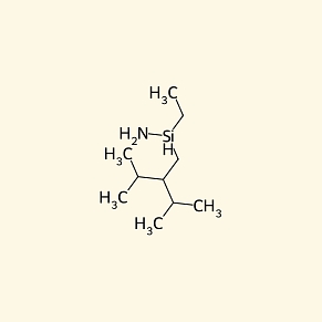 CC[SiH](N)CC(C(C)C)C(C)C